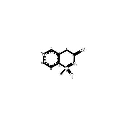 CS1(=O)=NC(=O)Cc2cnccc21